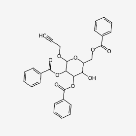 C#CCOC1OC(COC(=O)c2ccccc2)C(O)C(OC(=O)c2ccccc2)C1OC(=O)c1ccccc1